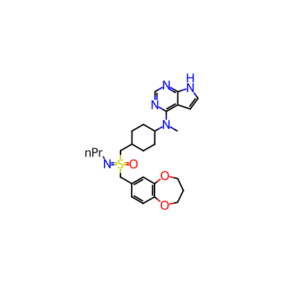 CCCN=S(=O)(Cc1ccc2c(c1)OCCCO2)CC1CCC(N(C)c2ncnc3[nH]ccc23)CC1